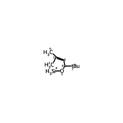 CC(C)=CC(O[SiH3])C(C)(C)C